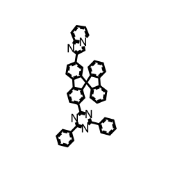 c1ccc(-c2nc(-c3ccccc3)nc(-c3ccc4c(c3)C3(c5ccccc5-c5ccccc53)c3cc(-c5cn6ccccc6n5)ccc3-4)n2)cc1